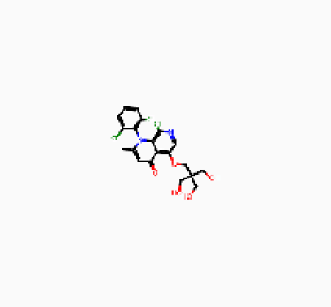 Cc1cc(=O)c2c(OCC(CO)(CO)CO)cnc(Cl)c2n1-c1c(Cl)cccc1Cl